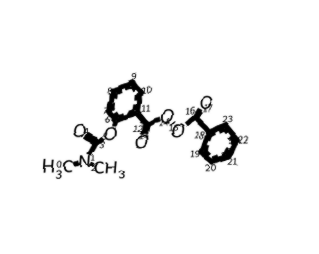 CN(C)C(=O)Oc1ccccc1C(=O)OOC(=O)c1ccccc1